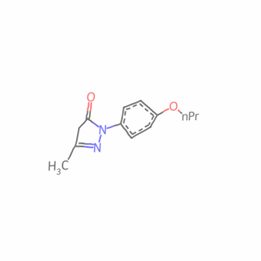 CCCOc1ccc(N2N=C(C)CC2=O)cc1